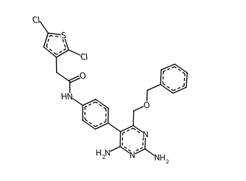 Nc1nc(N)c(-c2ccc(NC(=O)Cc3cc(Cl)sc3Cl)cc2)c(COCc2ccccc2)n1